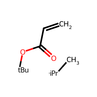 C=CC(=O)OC(C)(C)C.C[C](C)C